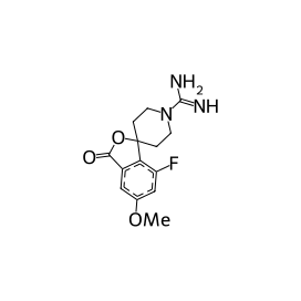 COc1cc(F)c2c(c1)C(=O)OC21CCN(C(=N)N)CC1